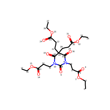 CCOC(=O)CCN1C(=O)N(CCC(=O)OCC)C(=O)C(CCC(=O)OCC)(CCC(=O)OCC)C1=O